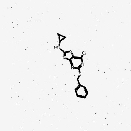 Clc1nc(SCc2ccccc2)nc2nc(NC3CC3)sc12